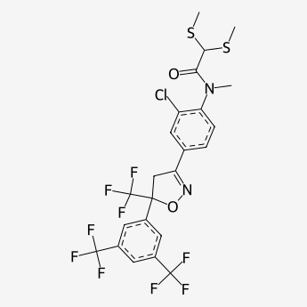 CSC(SC)C(=O)N(C)c1ccc(C2=NOC(c3cc(C(F)(F)F)cc(C(F)(F)F)c3)(C(F)(F)F)C2)cc1Cl